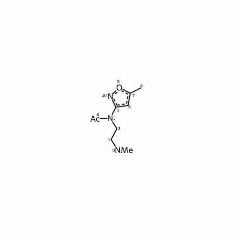 CNCCN(C(C)=O)c1cc(C)on1